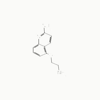 NCCOc1cccc2nc(N)ccc12